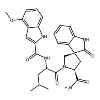 COc1cccc2[nH]c(C(=O)NC(CC(C)C)C(=O)N3C[C@]4(C[C@H]3C(N)=O)C(=O)Nc3ccccc34)cc12